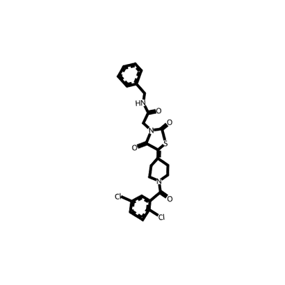 O=C(CN1C(=O)SC(=C2CCN(C(=O)c3cc(Cl)ccc3Cl)CC2)C1=O)NCc1ccccc1